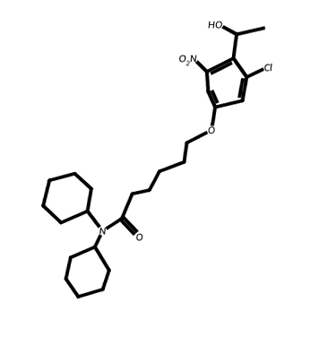 CC(O)c1c(Cl)cc(OCCCCCC(=O)N(C2CCCCC2)C2CCCCC2)cc1[N+](=O)[O-]